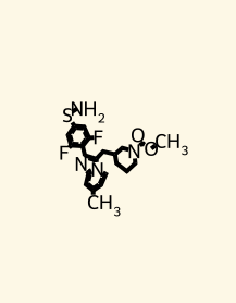 COC(=O)N1CCCC(Cc2c(-c3c(F)cc(SN)cc3F)nc3cc(C)ccn23)C1